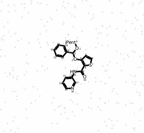 CCCC(C)OC(Oc1ccsc1C(=O)Nc1cccnc1)c1ccccc1